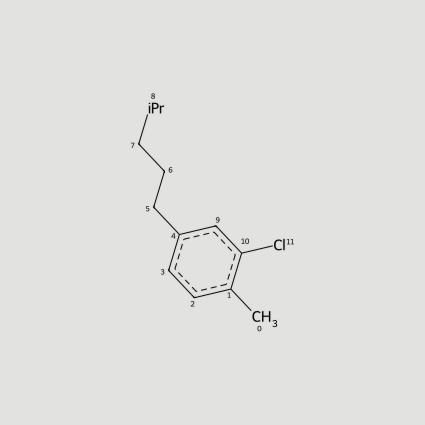 Cc1ccc(CCCC(C)C)cc1Cl